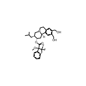 COC(C(=O)O[C@H]1C[C@@H]2c3cc(CO)c(CO)cc3CCN2C[C@@H]1CC(C)C)(c1ccccc1)C(F)(F)F